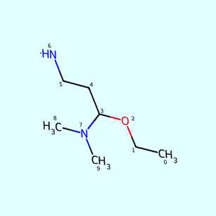 CCOC(CC[NH])N(C)C